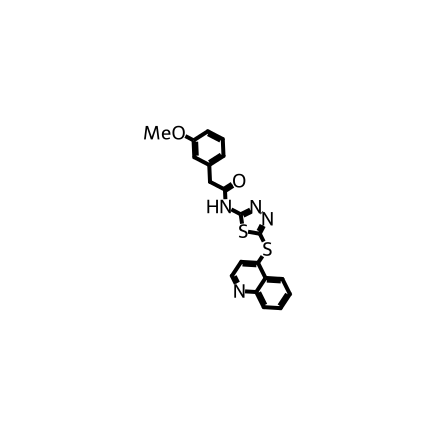 COc1cccc(CC(=O)Nc2nnc(Sc3ccnc4ccccc34)s2)c1